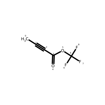 CC#CC(=O)OC(F)(F)F